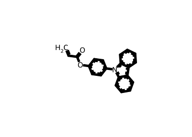 C=CC(=O)Oc1ccc(-n2c3ccccc3c3ccccc32)cc1